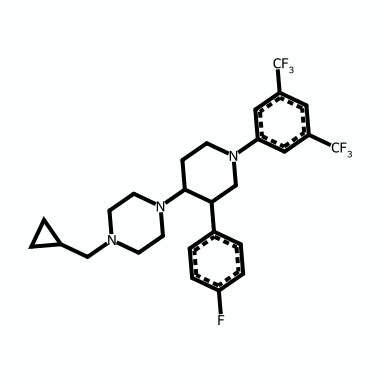 Fc1ccc(C2CN(c3cc(C(F)(F)F)cc(C(F)(F)F)c3)CCC2N2CCN(CC3CC3)CC2)cc1